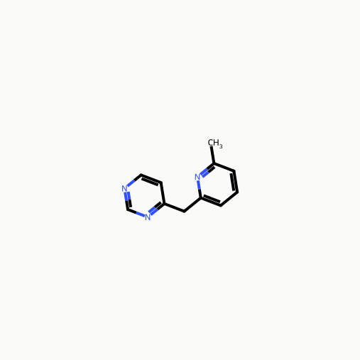 Cc1cccc(Cc2ccncn2)n1